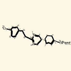 CCCCC[C@H]1CC[C@H](c2cnc(CCc3ccc(CC)cc3)nc2)CC1